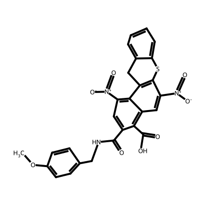 COc1ccc(CNC(=O)c2cc([N+](=O)[O-])c3c4c(c([N+](=O)[O-])cc3c2C(=O)O)Sc2ccccc2C4)cc1